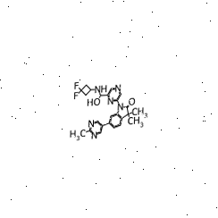 Cc1ncc(-c2ccc3c(c2)N(c2cncc(C(O)NC4CC(F)(F)C4)n2)C(=O)C3(C)C)cn1